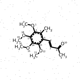 COc1c(C)c(/C=C/C(C)=O)c(OC)c(OC)c1OC